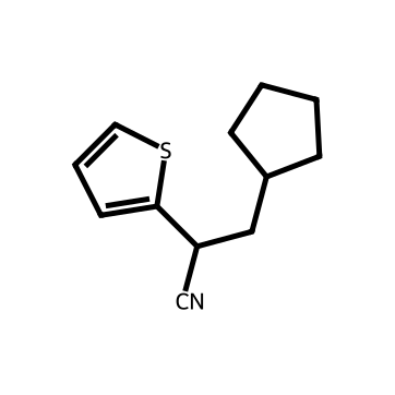 N#CC(CC1CCCC1)c1cccs1